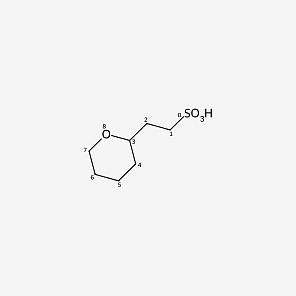 O=S(=O)(O)CCC1CCCCO1